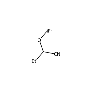 CCC(C#N)OC(C)C